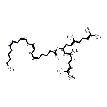 CCCCC/C=C\C/C=C\C/C=C\C/C=C\CCCC(=O)OC(/C=C(\C)CCC=C(C)C)C/C=C(\C)CCC=C(C)C